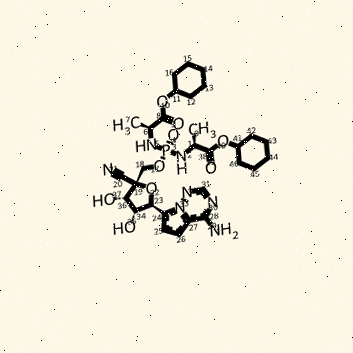 C[C@H](NP(=O)(N[C@@H](C)C(=O)OC1CCCCC1)OC[C@@]1(C#N)O[C@@H](c2ccc3c(N)ncnn23)[C@H](O)[C@@H]1O)C(=O)OC1CCCCC1